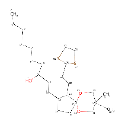 CCCCCCCC(O)C=CC1CCC2(OCC(C)(C)CO2)C1CCC1SCCS1